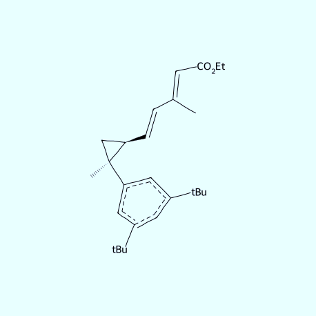 CCOC(=O)/C=C(C)/C=C/[C@@H]1C[C@]1(C)c1cc(C(C)(C)C)cc(C(C)(C)C)c1